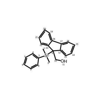 C[Si](C)(c1ccccc1)C1(CO)c2ccccc2-c2ccccc21